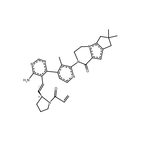 C=CC(=O)N1CCC[C@H]1/C=C/c1c(N)ncnc1-c1ccnc(N2CCn3c(cc4c3CC(C)(C)C4)C2=O)c1C